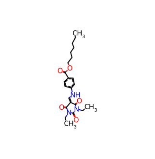 CCCCCCCOC(=O)c1ccc(NC=C2C(=O)N(CC)C(=O)N(CC)C2=O)cc1